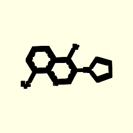 FC(F)(F)c1cccc2c(Br)c([SH]3C=CC=C3)cnc12